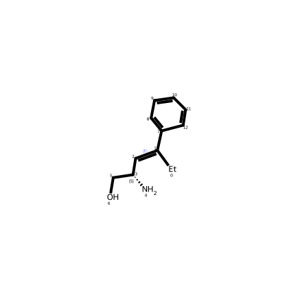 CC/C(=C\[C@H](N)CO)c1ccccc1